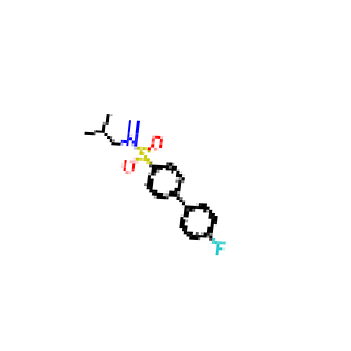 CC(C)CNS(=O)(=O)c1ccc(-c2ccc(F)cc2)cc1